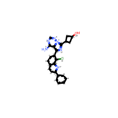 Nc1ncnn2c(C3CC(O)C3)nc(-c3ccc4ccc(-c5ccccc5)nc4c3Cl)c12